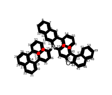 c1ccc(-c2cc3ccccc3cc2N(c2ccc(-c3cccc4cccc(-c5ccccc5)c34)cc2)c2ccc3c(c2)oc2ccc4ccccc4c23)cc1